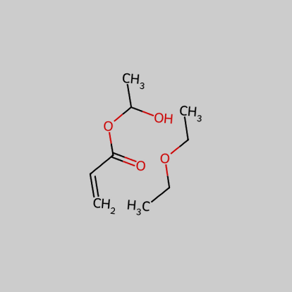 C=CC(=O)OC(C)O.CCOCC